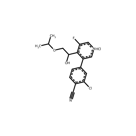 CC(C)OCC(O)c1c(F)cncc1-c1ccc(C#N)c(Cl)c1.Cl